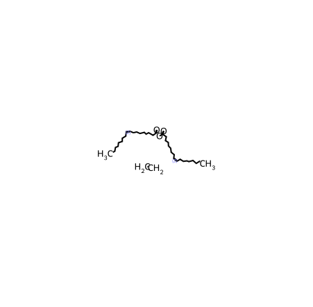 C=C.CCCCCCCC/C=C\CCCCCCCC(=O)OC(=O)CCCCCCC/C=C\CCCCCCCC